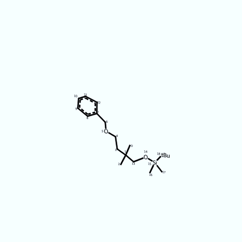 CC(C)(CCOCc1ccccc1)CO[Si](C)(C)C(C)(C)C